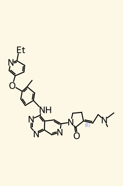 CCc1ccc(Oc2ccc(Nc3ncnc4cnc(N5CC/C(=C\CN(C)C)C5=O)cc34)cc2C)cn1